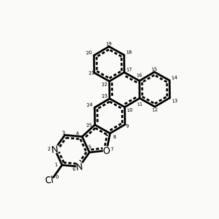 Clc1ncc2c(n1)oc1cc3c4ccccc4c4ccccc4c3cc12